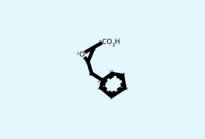 O=C(O)C1OC1Cc1ccccc1